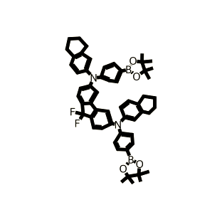 CC1(C)OB(c2ccc(N(c3ccc4c(c3)CCCC4)c3ccc4c(c3)-c3cc(N(c5ccc(B6OC(C)(C)C(C)(C)O6)cc5)c5ccc6c(c5)CCCC6)ccc3C4(F)F)cc2)OC1(C)C